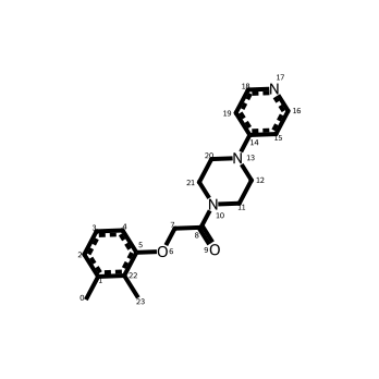 Cc1cccc(OCC(=O)N2CCN(c3ccncc3)CC2)c1C